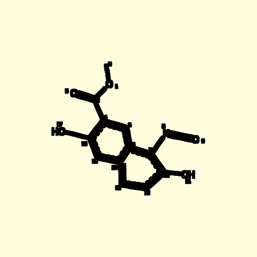 COC(=O)c1cc2c(N=O)c(O)ccc2cc1O